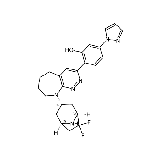 Oc1cc(-n2cccn2)ccc1-c1cc2c(nn1)N([C@H]1C[C@@H]3CC(F)(F)[C@H](C1)N3)CCCC2